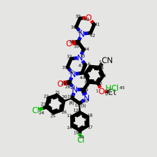 CCOc1cc(C#N)ccc1C1=N[C@@H](c2ccc(Cl)cc2)[C@@H](c2ccc(Cl)cc2)N1C(=O)N1CCN(CC(=O)N2CCOCC2)CC1.Cl